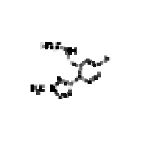 Cn1ccc(-c2ccc(F)cc2CNC(=O)O)n1